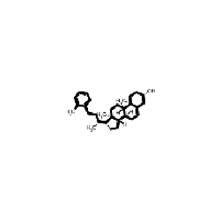 Cc1ccccc1CC[C@@H](C)[C@H]1CC[C@H]2[C@@H]3CC=C4C[C@@H](O)CC[C@]4(C)[C@H]3CC[C@]12C